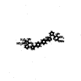 COC(=O)N(C)[C@H](C(=O)N1CCC[C@H]1c1ncc(-c2ccc(-c3ccc(-c4cnc([C@@H]5CCCN5C(=O)[C@@H](C(C)C)C(C)NC(=O)O)[nH]4)cc3)cc2)[nH]1)C(C)C